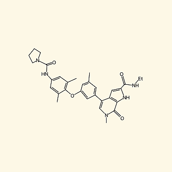 CCNC(=O)c1cc2c(-c3cc(C)cc(Oc4c(C)cc(NC(=O)N5CCCC5)cc4C)c3)cn(C)c(=O)c2[nH]1